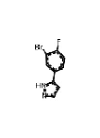 Fc1ccc(-c2ccn[nH]2)cc1Br